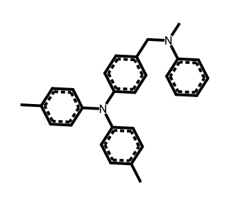 Cc1ccc(N(c2ccc(C)cc2)c2ccc(CN(C)c3ccccc3)cc2)cc1